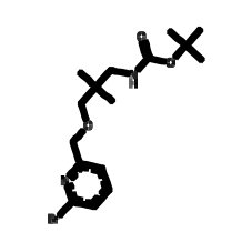 CC(C)(CNC(=O)OC(C)(C)C)COCc1cccc(Br)n1